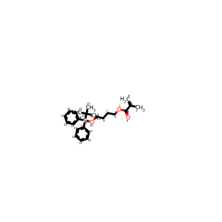 C=C(C)C(=O)OCCCCO[Si](c1ccccc1)(c1ccccc1)C(C)(C)C